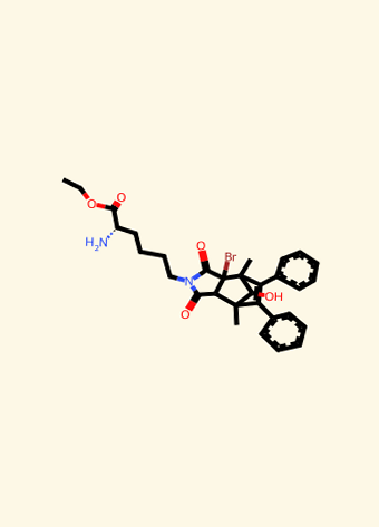 CCOC(=O)[C@@H](N)CCCCN1C(=O)C2C3(C)C(c4ccccc4)=C(c4ccccc4)C(C)(C3O)C2(Br)C1=O